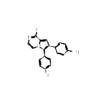 Cc1ccc(-c2c(-c3ccc(C#N)cc3)cc3c(Cl)nccn23)cc1